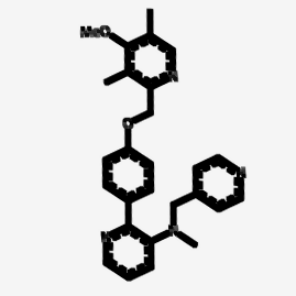 COc1c(C)cnc(COc2ccc(-c3ncccc3N(C)Cc3ccncc3)cc2)c1C